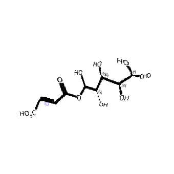 O=C[C@H](O)[C@@H](O)[C@H](O)[C@H](O)C(O)OC(=O)/C=C/C(=O)O